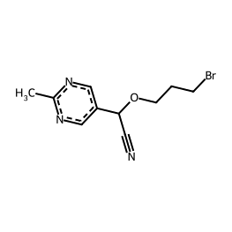 Cc1ncc(C(C#N)OCCCBr)cn1